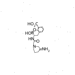 N[C@H]1CCCN(CC(=O)NC2Cc3cccc(C(=O)O)c3OB2O)C1